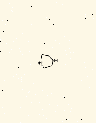 C1CNCC[N+]1